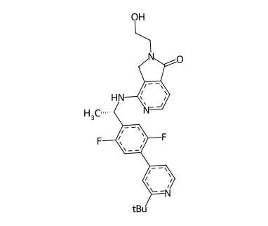 C[C@H](Nc1nccc2c1CN(CCO)C2=O)c1cc(F)c(-c2ccnc(C(C)(C)C)c2)cc1F